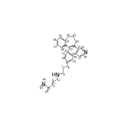 C=C(/C=C/CNCCCc1ccc(C2=C(c3cccnc3)CCCc3ccccc32)cc1)N(C)C